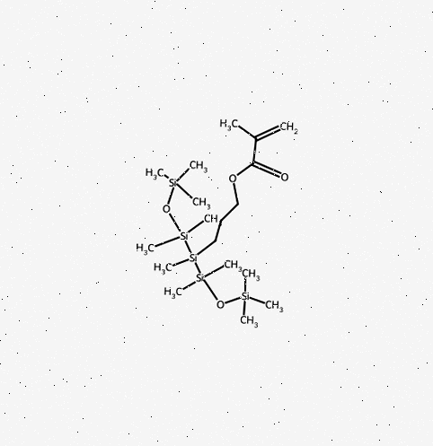 C=C(C)C(=O)OCCC[Si](C)([Si](C)(C)O[Si](C)(C)C)[Si](C)(C)O[Si](C)(C)C